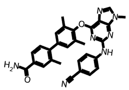 Cc1cc(C(N)=O)ccc1-c1cc(C)c(Oc2nc(Nc3ccc(C#N)cc3)nc3c2ncn3C)c(C)c1